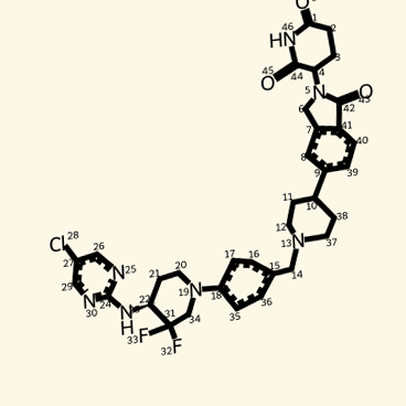 O=C1CCC(N2Cc3cc(C4CCN(Cc5ccc(N6CC[C@H](Nc7ncc(Cl)cn7)C(F)(F)C6)cc5)CC4)ccc3C2=O)C(=O)N1